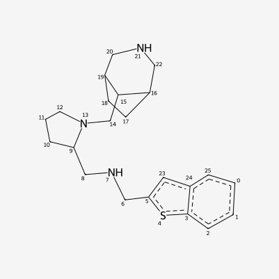 c1ccc2sc(CNCC3CCCN3CC3C4CCC3CNC4)cc2c1